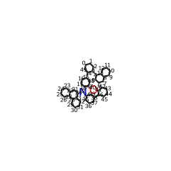 c1ccc(-c2cccc3ccccc23)c(-c2ccc(N(c3cc4ccccc4c4ccccc34)c3cccc4c3oc3ccccc34)cc2)c1